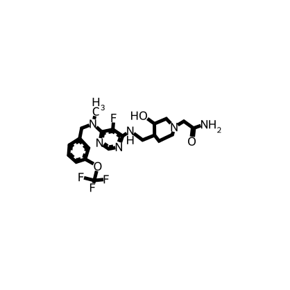 CN(Cc1cccc(OC(F)(F)F)c1)c1ncnc(NCC2CCN(CC(N)=O)CC2O)c1F